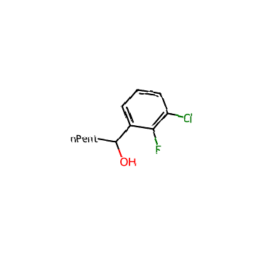 CCCCCC(O)c1cccc(Cl)c1F